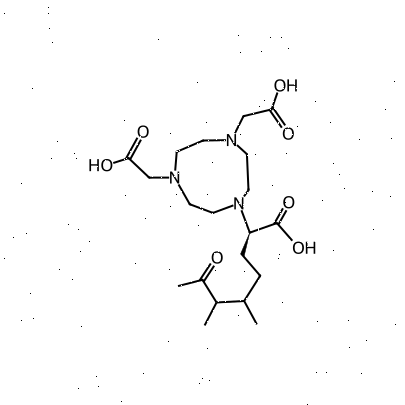 CC(=O)C(C)C(C)CC[C@H](C(=O)O)N1CCN(CC(=O)O)CCN(CC(=O)O)CC1